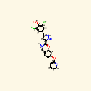 CN(Cc1ccc(Oc2ccccn2)cc1)C(=O)c1cc(-c2cc(Cl)c(O)c(Cl)c2)n[nH]1